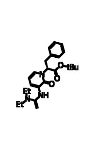 C=C(Nc1cccn([C@@H](Cc2ccccc2)C(=O)OC(C)(C)C)c1=O)N(CC)CC